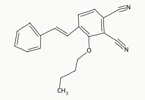 CCCCOc1c(C=Cc2ccccc2)ccc(C#N)c1C#N